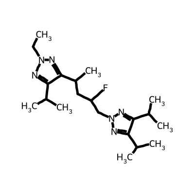 CCn1nc(C(C)C)c(C(C)CC(F)Cn2nc(C(C)C)c(C(C)C)n2)n1